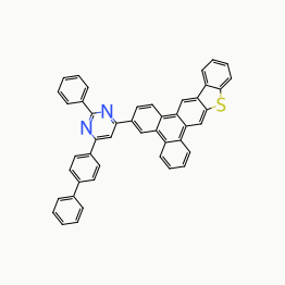 c1ccc(-c2ccc(-c3cc(-c4ccc5c(c4)c4ccccc4c4cc6sc7ccccc7c6cc54)nc(-c4ccccc4)n3)cc2)cc1